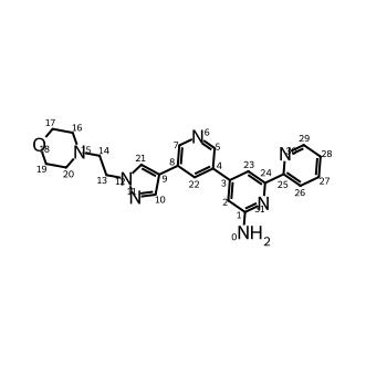 Nc1cc(-c2cncc(-c3cnn(CCN4CCOCC4)c3)c2)cc(-c2ccccn2)n1